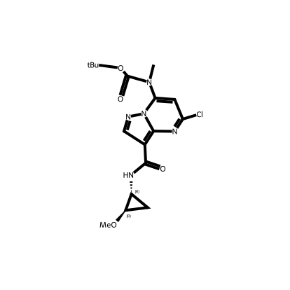 CO[C@@H]1C[C@H]1NC(=O)c1cnn2c(N(C)C(=O)OC(C)(C)C)cc(Cl)nc12